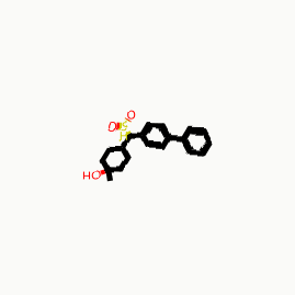 CC1(O)CCC(C(c2ccc(-c3ccccc3)cc2)[SH](=O)=O)CC1